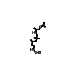 C=C(C)OCC(C)NCC(C)(C)CC(C)CCNC=O